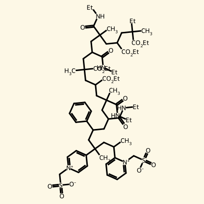 CCNC(=O)C(CC(CC(C)(CC(C)c1cccc[n+]1CS(=O)(=O)[O-])c1cc[n+](CS(=O)(=O)[O-])cc1)c1ccccc1)CC(C)(CC(CC(C)(CC(CC(C)(CC(CC(C)(CC)C(=O)OCC)C(=O)OCC)C(=O)NCC)C(=O)NCC)C(=O)OCC)C(=O)OCC)C(=O)NCC